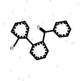 CCc1ccccc1-c1ccccc1C(=O)c1ccccc1